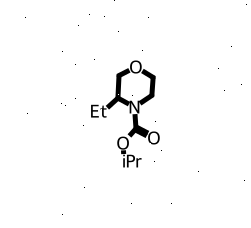 CCC1COCCN1C(=O)OC(C)C